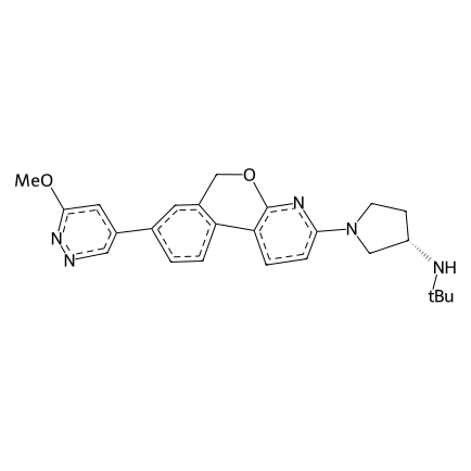 COc1cc(-c2ccc3c(c2)COc2nc(N4CC[C@H](NC(C)(C)C)C4)ccc2-3)cnn1